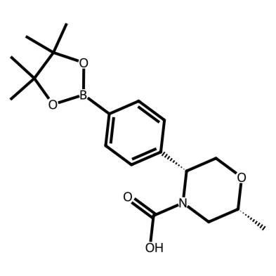 C[C@@H]1CN(C(=O)O)[C@H](c2ccc(B3OC(C)(C)C(C)(C)O3)cc2)CO1